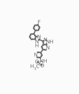 CS(=O)(=O)Nc1cncc(-c2cnc3[nH]nc(-c4nc5c(-c6ccc(F)cc6)cccc5[nH]4)c3c2)c1